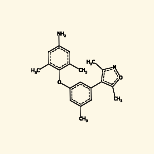 Cc1cc(Oc2c(C)cc(N)cc2C)cc(-c2c(C)noc2C)c1